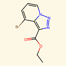 CCOC(=O)c1nnn2cccc(Br)c12